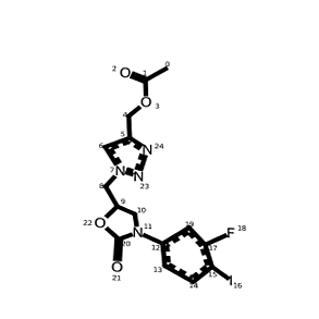 CC(=O)OCc1cn(CC2CN(c3ccc(I)c(F)c3)C(=O)O2)nn1